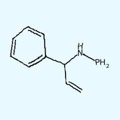 C=CC(NP)c1ccccc1